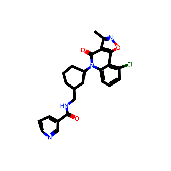 Cc1noc2c1c(=O)n(C1CCCC(CNC(=O)c3cccnc3)C1)c1cccc(Cl)c21